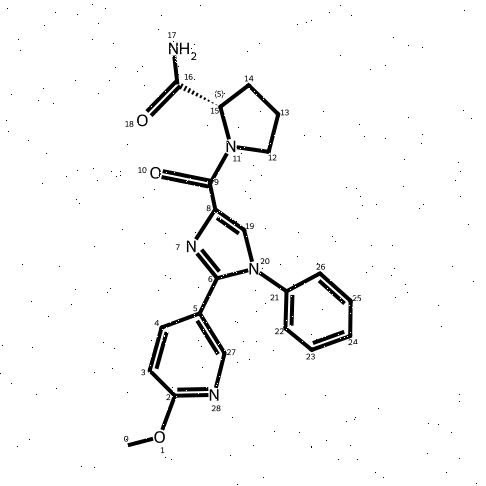 COc1ccc(-c2nc(C(=O)N3CCC[C@H]3C(N)=O)cn2-c2ccccc2)cn1